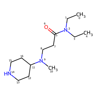 CCN(CC)C(=O)CCN(C)C1CCNCC1